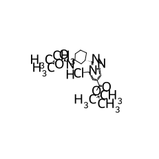 CC(C)(C)OC(=O)N[C@@H]1CCC[C@H](c2nnc3cc(C(=O)OC(C)(C)C)cc(Cl)n23)C1